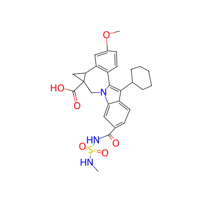 CNS(=O)(=O)NC(=O)c1ccc2c(C3CCCCC3)c3n(c2c1)CC1(C(=O)O)CC1c1cc(OC)ccc1-3